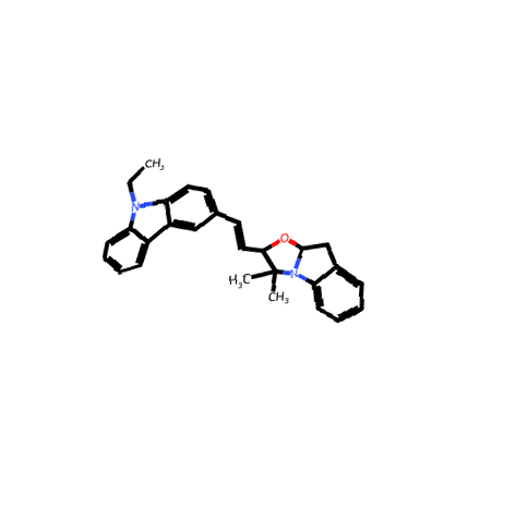 CCn1c2ccccc2c2cc(C=CC3OC4Cc5ccccc5N4C3(C)C)ccc21